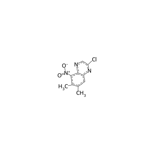 Cc1cc2nc(Cl)cnc2c([N+](=O)[O-])c1C